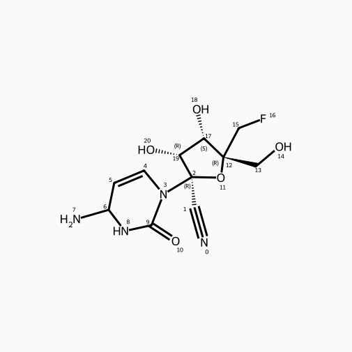 N#C[C@@]1(N2C=CC(N)NC2=O)O[C@@](CO)(CF)[C@@H](O)[C@H]1O